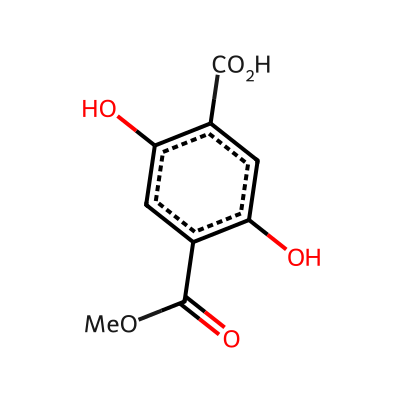 COC(=O)c1cc(O)c(C(=O)O)cc1O